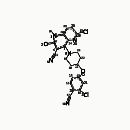 Cn1c(=O)c(C#N)c(N2CCC(Oc3ccc(C#N)c(Cl)c3)CC2)c2nc(Cl)ccc21